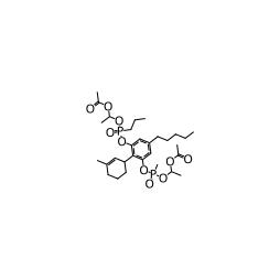 CCCCCc1cc(OP(C)(=O)OC(C)OC(C)=O)c(C2C=C(C)CCC2)c(OP(=O)(CCC)OC(C)OC(C)=O)c1